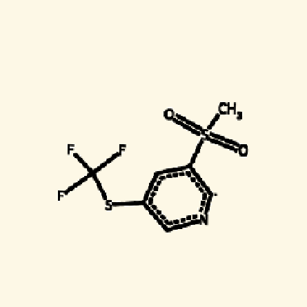 CS(=O)(=O)c1[c]ncc(SC(F)(F)F)c1